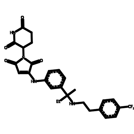 CCC(C)(NCCc1ccc(C(F)(F)F)cc1)c1cccc(NC2=CC(=O)N(C3CCC(=O)NC3=O)C2=O)c1